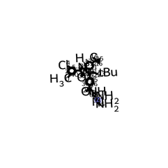 Cc1cc(Cl)cc(C2=NC3(CCC(C4(C)CC4)CC3)N(C(CCC(C)(C)C)c3ccc(C(=O)NC/C(N)=N/N)cc3)C2=O)c1